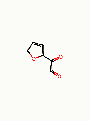 O=CC(=O)C1C=CCO1